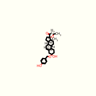 CCO[C@]1(C(C)=O)CC[C@H]2[C@@H]3CC=C4CC(O)(OCc5ccc(O)cc5)CC[C@]4(C)[C@H]3CC[C@@]21C